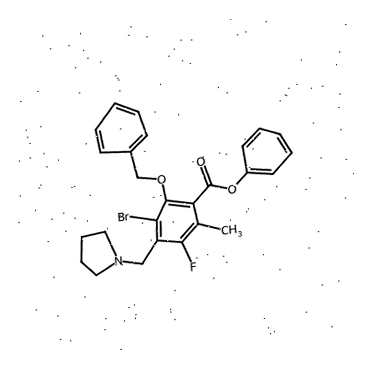 Cc1c(F)c(CN2CCCC2)c(Br)c(OCc2ccccc2)c1C(=O)Oc1ccccc1